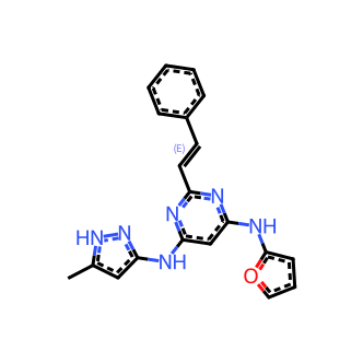 Cc1cc(Nc2cc(Nc3ccco3)nc(/C=C/c3ccccc3)n2)n[nH]1